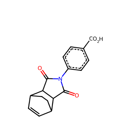 O=C(O)c1ccc(N2C(=O)C3C4C=CC(CC4)C3C2=O)cc1